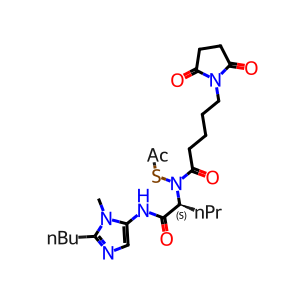 CCCCc1ncc(NC(=O)[C@H](CCC)N(SC(C)=O)C(=O)CCCCN2C(=O)CCC2=O)n1C